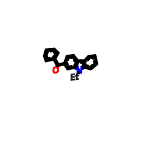 CCn1c2ccccc2c2ccc(C(=O)c3ccccc3)cc21